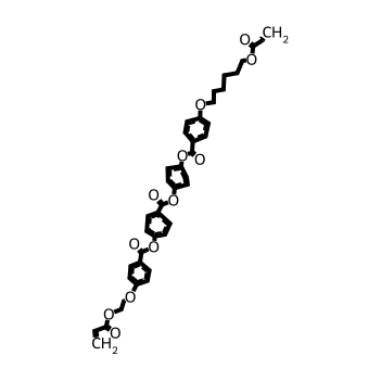 C=CC(=O)OCCCCCCOc1ccc(C(=O)Oc2ccc(OC(=O)c3ccc(OC(=O)c4ccc(OCCOC(=O)C=C)cc4)cc3)cc2)cc1